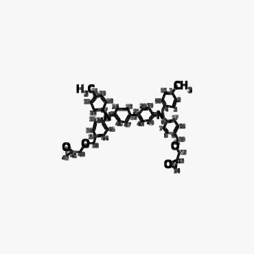 Cc1ccc(N(c2ccc(COCC3CO3)cc2)c2ccc(-c3ccc(N(c4ccc(C)cc4)c4ccc(COCC5CO5)cc4)cc3)cc2)cc1